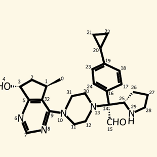 C[C@@H]1C[C@@H](O)c2ncnc(N3CCN([C@@](C=O)(c4ccc(C5CC5)cc4)[C@@H]4CCCN4)CC3)c21